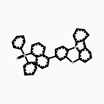 S=P(c1ccccc1)(c1ccccc1)c1cccc2c(-c3ccc4c(c3)Sc3cccc5c6ccccc6n-4c35)cccc12